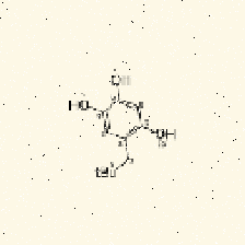 CC(C)(C)Cc1cc(O)c(O)cc1O